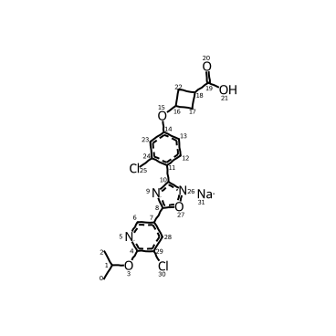 CC(C)Oc1ncc(-c2nc(-c3ccc(OC4CC(C(=O)O)C4)cc3Cl)no2)cc1Cl.[Na]